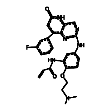 C=CC(=O)Nc1cc(Nc2ncc3[nH]c(=O)cc(-c4cccc(F)c4)c3n2)ccc1OCCN(C)C